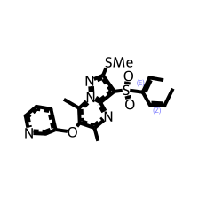 C/C=C\C(=C/C)S(=O)(=O)c1c(SC)nn2c(C)c(Oc3cccnc3)c(C)nc12